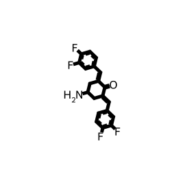 NC1C/C(=C\c2ccc(F)c(F)c2)C(=O)/C(=C/c2ccc(F)c(F)c2)C1